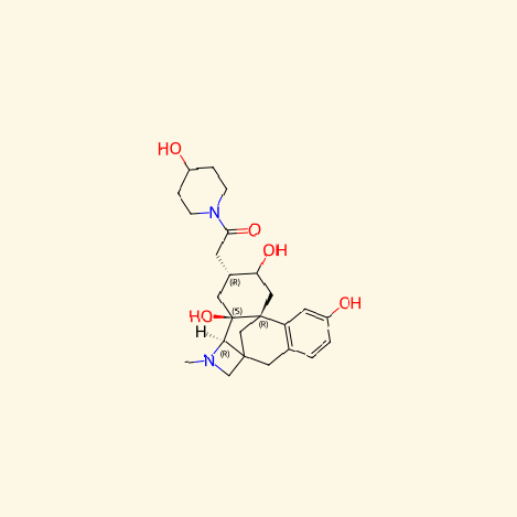 CN1CC23Cc4ccc(O)cc4[C@]4(CC(O)[C@@H](CC(=O)N5CCC(O)CC5)C[C@@]4(O)[C@H]12)C3